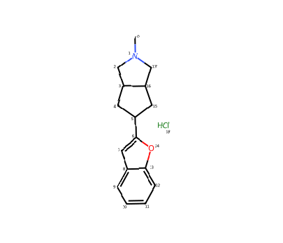 CN1CC2CC(c3cc4ccccc4o3)CC2C1.Cl